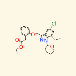 CCOC(=O)Cc1ccccc1OCc1nn(C2CCCCO2)c2c(CC)cc(Cl)cc12